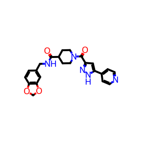 O=C(NCc1ccc2c(c1)OCO2)C1CCN(C(=O)c2cc(-c3ccncc3)[nH]n2)CC1